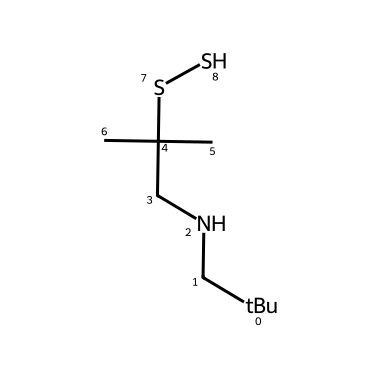 CC(C)(C)CNCC(C)(C)SS